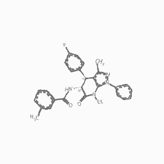 CCN1C(=O)[C@H](NC(=O)c2cccc(C)c2)[C@@H](c2ccc(F)cc2)c2c(C)nn(-c3ccccc3)c21